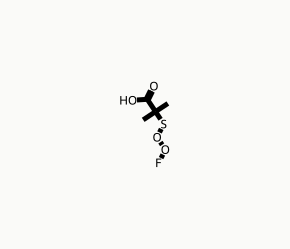 CC(C)(SOOF)C(=O)O